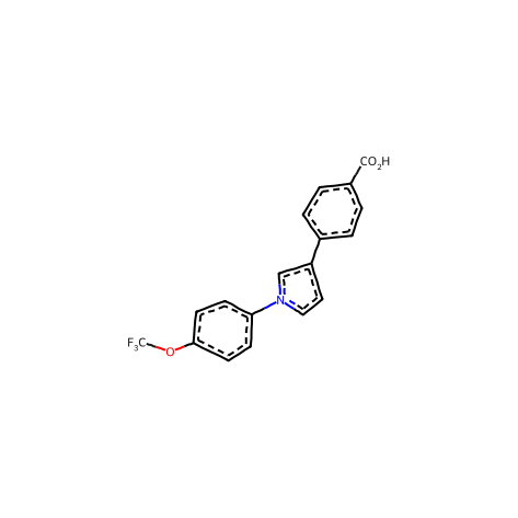 O=C(O)c1ccc(-c2ccn(-c3ccc(OC(F)(F)F)cc3)c2)cc1